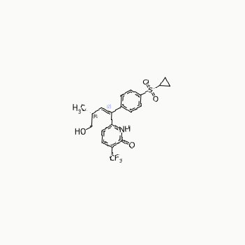 C[C@H](/C=C(/c1ccc(S(=O)(=O)C2CC2)cc1)c1ccc(C(F)(F)F)c(=O)[nH]1)CO